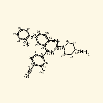 N#Cc1ccc(-c2nc(N3CCC(N)CC3)nc3ccc(-c4ccccc4F)cc23)cc1F